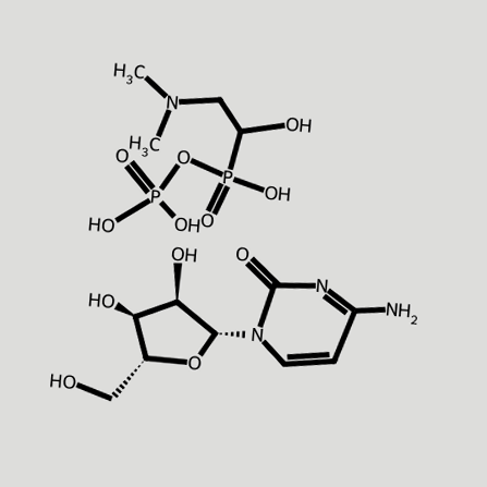 CN(C)CC(O)P(=O)(O)OP(=O)(O)O.Nc1ccn([C@@H]2O[C@H](CO)[C@@H](O)[C@H]2O)c(=O)n1